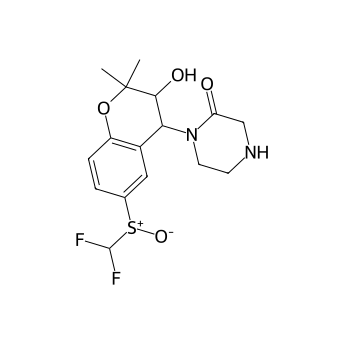 CC1(C)Oc2ccc([S+]([O-])C(F)F)cc2C(N2CCNCC2=O)C1O